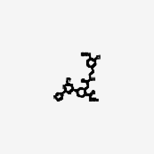 COC(=O)N1CCN(c2cc(C(C)C)nc(-n3ccnc3)n2)CC1CC(=O)NCCc1ccc(OC)c(Cl)c1